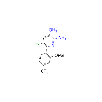 COc1cc(C(F)(F)F)ccc1-c1nc(N)c(N)cc1F